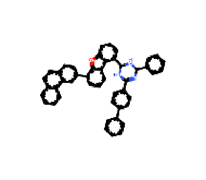 c1ccc(-c2ccc(C3=NC(c4ccccc4)NC(c4cccc5oc6c(-c7ccc8ccc9ccccc9c8c7)cccc6c45)N3)cc2)cc1